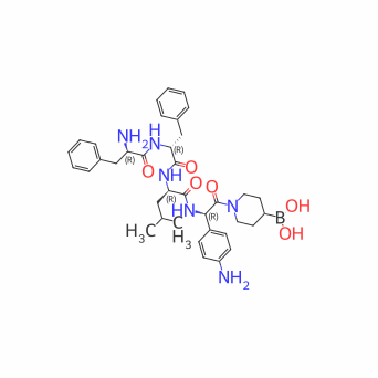 CC(C)C[C@@H](NC(=O)[C@@H](Cc1ccccc1)NC(=O)[C@H](N)Cc1ccccc1)C(=O)N[C@@H](C(=O)N1CCC(B(O)O)CC1)c1ccc(N)cc1